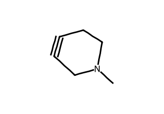 CN1CC#CCC1